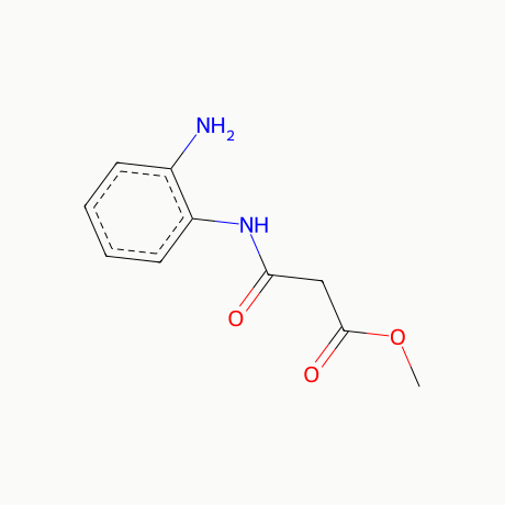 COC(=O)CC(=O)Nc1ccccc1N